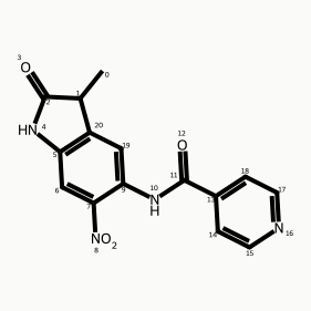 CC1C(=O)Nc2cc([N+](=O)[O-])c(NC(=O)c3ccncc3)cc21